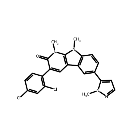 Cn1nccc1-c1ccc2c(c1)c1cc(-c3ccc(Cl)cc3Cl)c(=O)n(C)c1n2C